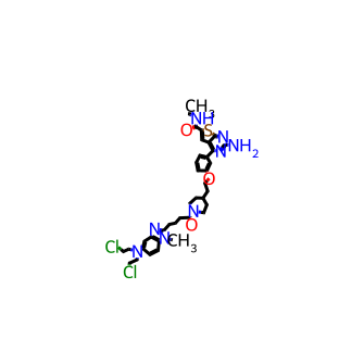 CCNC(=O)c1cc2c(-c3cccc(OCCC4CCN(C(=O)CCCc5nc6cc(N(CCCl)CCCl)ccc6n5C)CC4)c3)nc(N)nc2s1